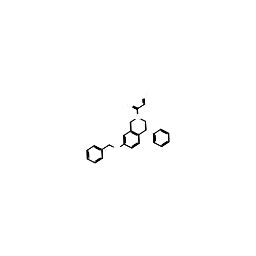 C=CC(=O)N1Cc2cc(OCc3ccccc3)ccc2[C@@H](c2ccccc2)C1